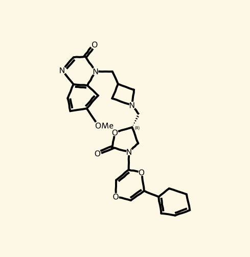 COc1ccc2ncc(=O)n(CC3CN(C[C@@H]4CN(C5=COC=C(C6=CC=CCC6)O5)C(=O)O4)C3)c2c1